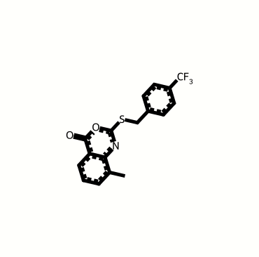 Cc1cccc2c(=O)oc(SCc3ccc(C(F)(F)F)cc3)nc12